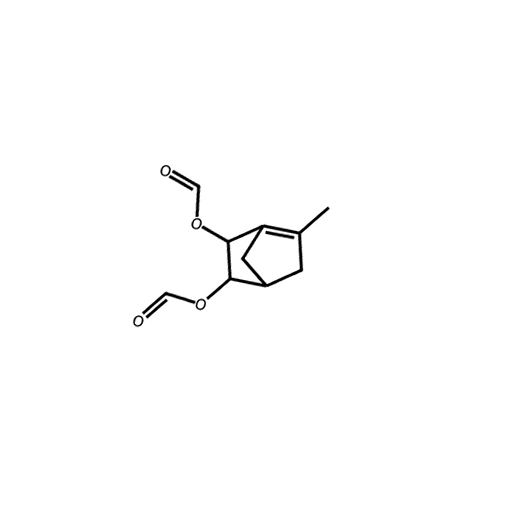 CC1=C2CC(C1)C(OC=O)C2OC=O